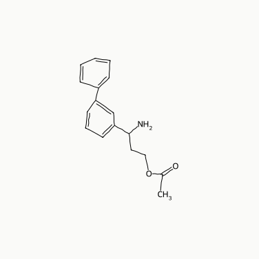 CC(=O)OCCC(N)c1cccc(-c2ccccc2)c1